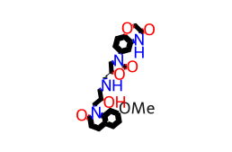 COc1ccc2ccc(=O)n(C[C@H](O)CNC[C@@H]3CN(c4ccc5c(c4)NC(=O)CO5)C(=O)O3)c2c1